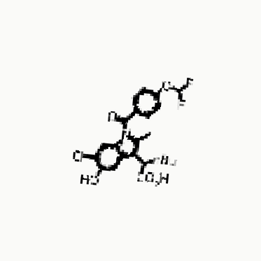 CCCCC(C(=O)O)c1c(C)n(C(=O)c2ccc(OC(F)F)cc2)c2cc(Cl)c(O)cc12